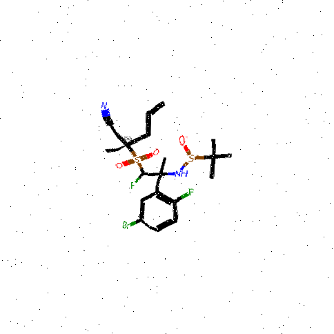 C=CC[C@@](C)(C#N)S(=O)(=O)C(F)C(C)(N[S+]([O-])C(C)(C)C)c1cc(Br)ccc1F